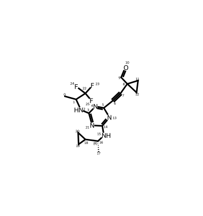 CC(Nc1nc(C#CC2(C=O)CC2)nc(N[C@H](C)C2CC2)n1)C(F)(F)F